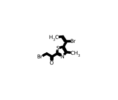 C/C=C(/Br)c1sc(C(=O)CBr)nc1C